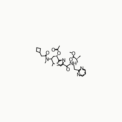 COC(=O)[C@@H](C)C[C@H](Cc1ncccn1)NC(=O)c1csc([C@@H](CC(C(C)C)N(C)C(=O)CC2CCC2)OC(C)=O)n1